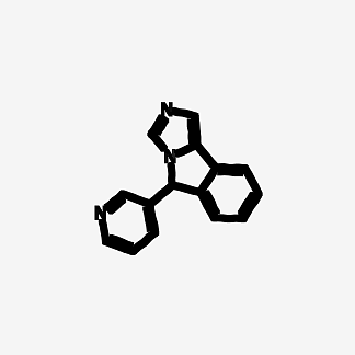 c1cncc(C2c3ccccc3-c3cncn32)c1